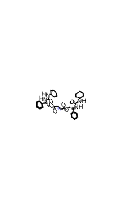 O=C(NC1CCCCC1)N[C@@H](COC(=O)/C=C/C(=O)OC[C@H](NC(=O)NC1CCCCC1)c1ccccc1)c1ccccc1